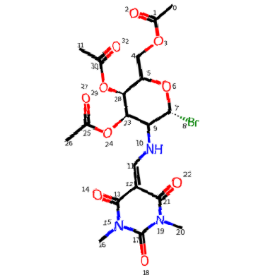 CC(=O)OCC1O[C@H](Br)C(NC=C2C(=O)N(C)C(=O)N(C)C2=O)[C@@H](OC(C)=O)[C@H]1OC(C)=O